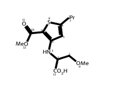 COCC(Nc1cc(C(C)C)sc1C(=O)OC)C(=O)O